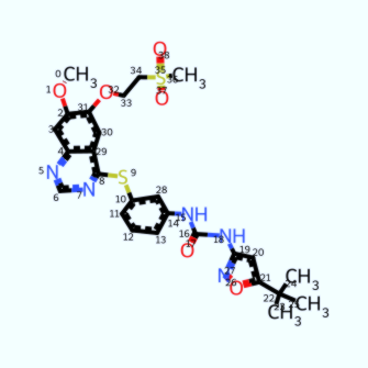 COc1cc2ncnc(Sc3cccc(NC(=O)Nc4cc(C(C)(C)C)on4)c3)c2cc1OCCS(C)(=O)=O